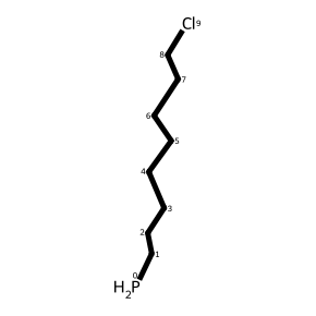 PCCCCCCCCCl